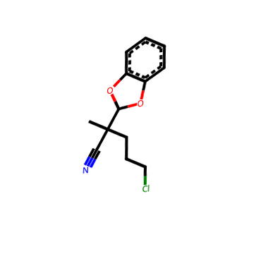 CC(C#N)(CCCCl)C1Oc2ccccc2O1